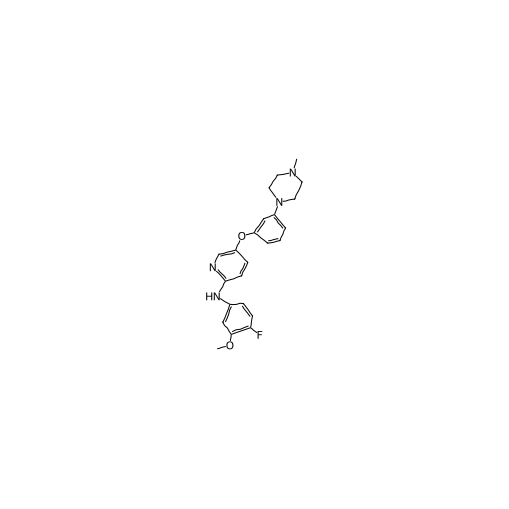 COc1cc(Nc2ccc(Oc3cccc(N4CCN(C)CC4)c3)cn2)ccc1F